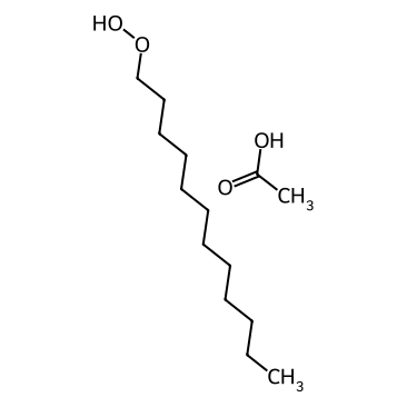 CC(=O)O.CCCCCCCCCCCCOO